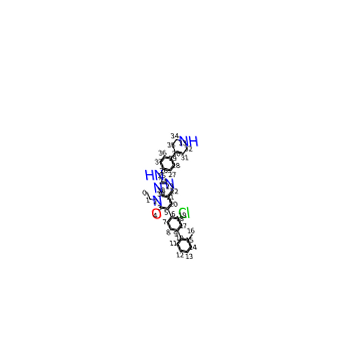 CCn1c(=O)c(-c2ccc(-c3ccccc3C)cc2Cl)cc2cnc(Nc3ccc(C4=CCNCC4)cc3)nc21